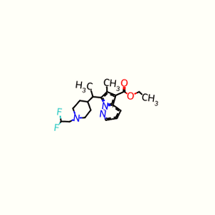 CCOC(=O)c1c(C)c(C(C)C2CCN(CC(F)F)CC2)n2ncccc12